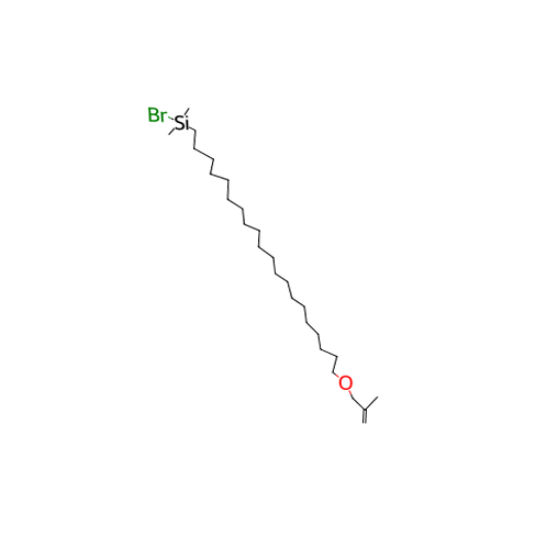 C=C(C)COCCCCCCCCCCCCCCCCCCCC[Si](C)(C)Br